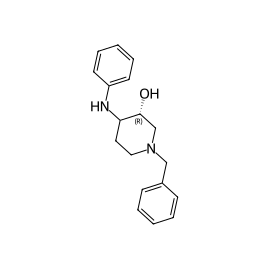 O[C@@H]1CN(Cc2ccccc2)CCC1Nc1ccccc1